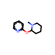 CN1CCCCC1Oc1ccccn1